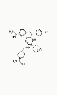 Cl.N=C(N)c1ccc(CC(C(=O)N[C@H](C(=O)NCC2CCN(C(=N)N)CC2)C2CCCCC2)c2ccc(Br)cc2)cc1